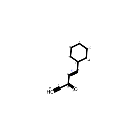 C#CC(=O)/C=C/C1CCCCC1